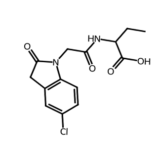 CCC(NC(=O)CN1C(=O)Cc2cc(Cl)ccc21)C(=O)O